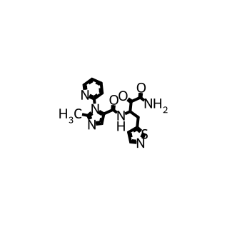 Cc1ncc(C(=O)NC(Cc2ccns2)C(=O)C(N)=O)n1-c1ccccn1